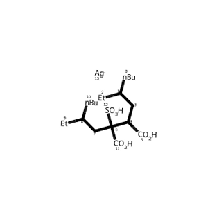 CCCCC(CC)CC(C(=O)O)C(CC(CC)CCCC)(C(=O)O)S(=O)(=O)O.[Ag]